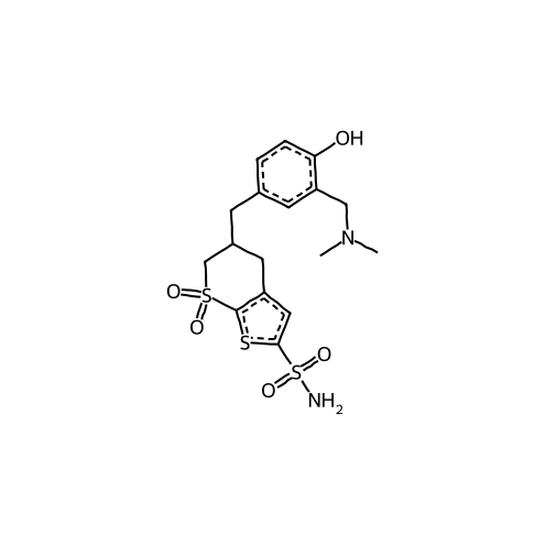 CN(C)Cc1cc(CC2Cc3cc(S(N)(=O)=O)sc3S(=O)(=O)C2)ccc1O